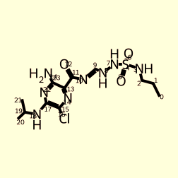 CCCNS(=O)(=O)NNC=NC(=O)c1nc(Cl)c(NC(C)C)nc1N